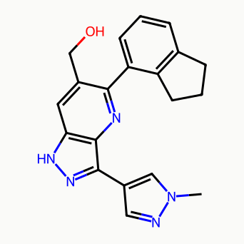 Cn1cc(-c2n[nH]c3cc(CO)c(-c4cccc5c4CCC5)nc23)cn1